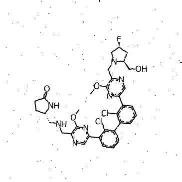 COc1nc(-c2cccc(-c3cccc(-c4cnc(CN5C[C@@H](F)C[C@H]5CO)c(OC)n4)c3Cl)c2Cl)cnc1CNC[C@@H]1CCC(=O)N1